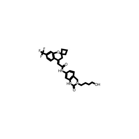 O=C(/C=C1\CC2(CCC2)Oc2cc(C(F)(F)F)ccc21)Nc1ccc2c(c1)NC(=O)N(CCCCO)C2